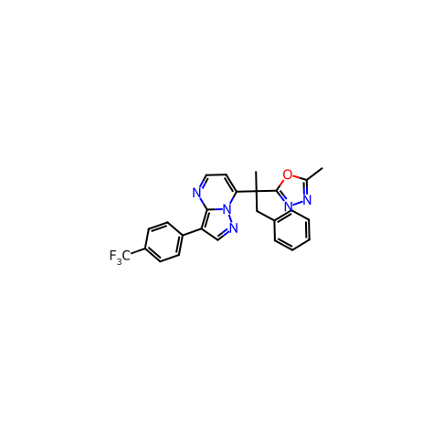 Cc1nnc(C(C)(Cc2ccccc2)c2ccnc3c(-c4ccc(C(F)(F)F)cc4)cnn23)o1